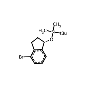 CC(C)(C)[Si](C)(C)O[C@H]1CCc2c(Br)cccc21